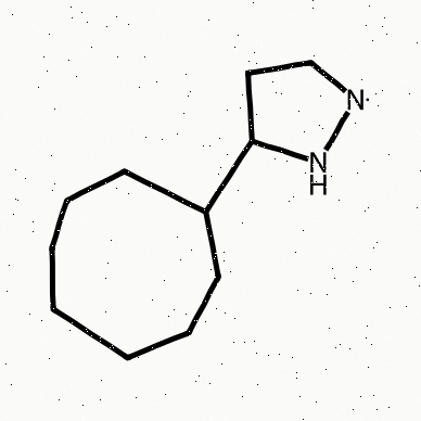 C1CCCC(C2CC[N]N2)CCC1